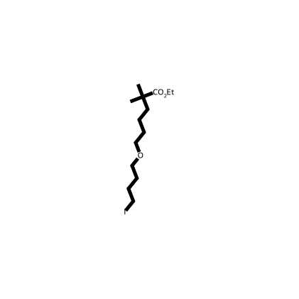 CCOC(=O)C(C)(C)CCCCOCCCCI